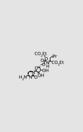 CCOC(=O)COP(=O)(N[C@@H](CC(C)C)C(=O)OCC)OC[C@H]1O[C@H](n2ccc(N)nc2=O)[C@H](O)C1O